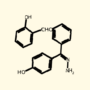 NN=C(c1ccccc1)c1ccc(O)cc1.O=Cc1ccccc1O